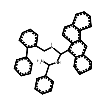 NC(NC(NCc1ccccc1-c1ccccc1)c1c2ccccc2cc2c1ccc1ccccc12)c1ccccc1